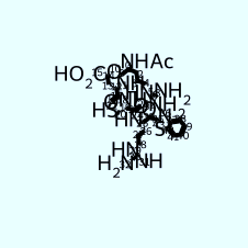 CC(=O)N[C@@H](CCCNC(N)N)C(=O)N[C@@H](CCC(=O)O)C(=O)N[C@@H](CS)C(=O)N[C@@H](CCCNC(=N)N)C(=O)c1nc2ccccc2s1